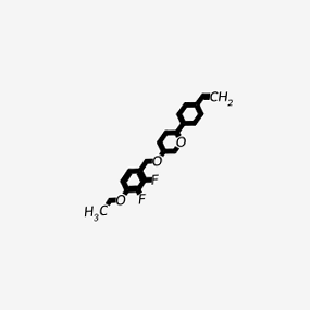 C=CC1CCC(C2CCC(OCc3ccc(OCC)c(F)c3F)CO2)CC1